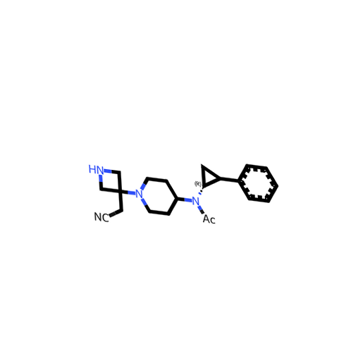 CC(=O)N(C1CCN(C2(CC#N)CNC2)CC1)[C@@H]1CC1c1ccccc1